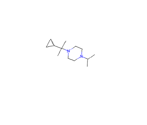 CC(C)N1CCN(C(C)(C)C2CC2)CC1